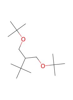 CC(C)(C)OCC(COC(C)(C)C)C(C)(C)C